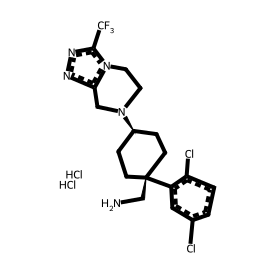 Cl.Cl.NC[C@]1(c2cc(Cl)ccc2Cl)CC[C@H](N2CCn3c(nnc3C(F)(F)F)C2)CC1